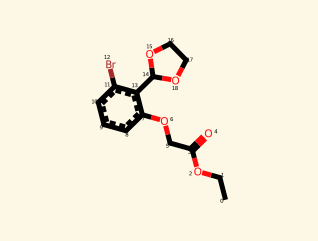 CCOC(=O)COc1cccc(Br)c1C1OCCO1